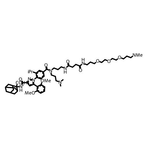 CNCCCOCCOCCOCCCNC(=O)CCC(=O)NCCCN(CCCN(C)C)C(=O)c1ccc(-n2nc(C(=O)NC3(C(=O)O)C4CC5CC(C4)CC3C5)cc2-c2c(OC)cccc2OC)c(C(C)C)c1